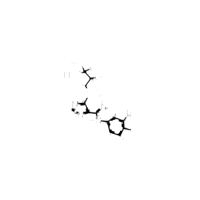 CC(C)(O)C(O)CSc1nonc1C(=NO)Nc1ccc(F)c(Br)c1